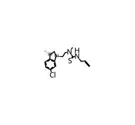 C=CCNC(=S)N(C)CC[C@@H]1C[C@@H](C)c2ccc(Cl)cc21